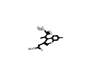 COC(=O)CC1COc2cc(F)ccc2C1C(C)C(=O)OC